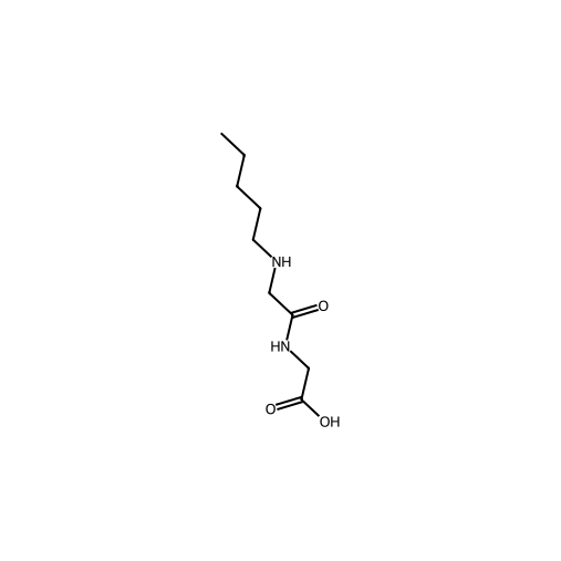 CCCCCNCC(=O)NCC(=O)O